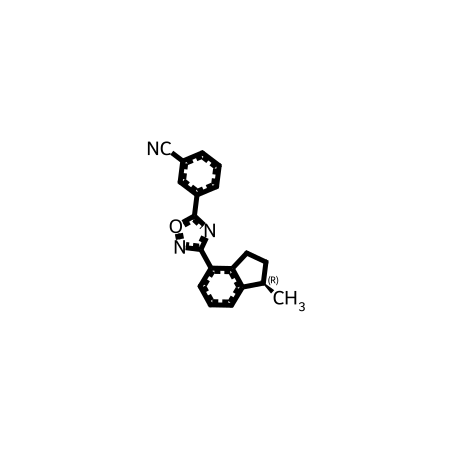 C[C@@H]1CCc2c(-c3noc(-c4cccc(C#N)c4)n3)cccc21